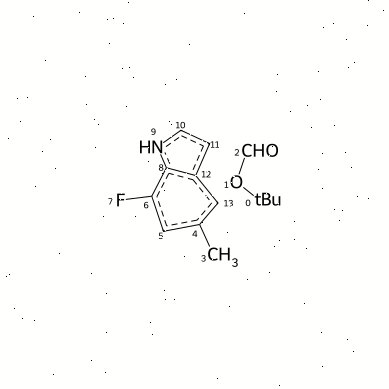 CC(C)(C)OC=O.Cc1cc(F)c2[nH]ccc2c1